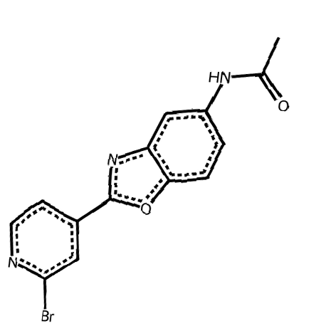 CC(=O)Nc1ccc2oc(-c3ccnc(Br)c3)nc2c1